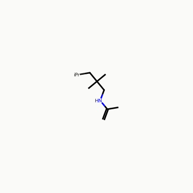 C=C(C)NCC(C)(C)CC(C)C